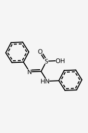 O=S(O)/C(=N\c1ccccc1)Nc1ccccc1